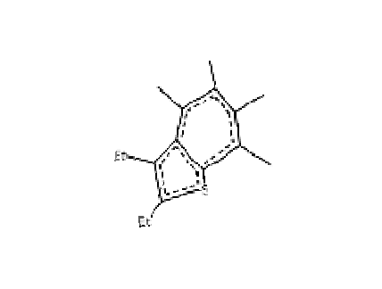 CCc1sc2c(C)c(C)c(C)c(C)c2c1CC